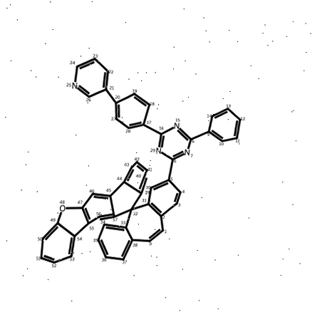 C1=Cc2ccc(-c3nc(-c4ccccc4)nc(-c4ccc(-c5cccnc5)cc4)n3)cc2C2(c3ccccc31)c1ccccc1-c1cc3oc4ccccc4c3cc12